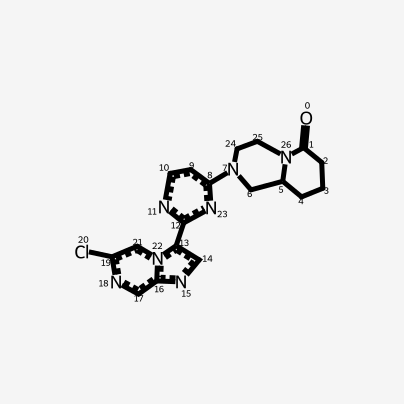 O=C1CCCC2CN(c3ccnc(-c4cnc5cnc(Cl)cn45)n3)CCN12